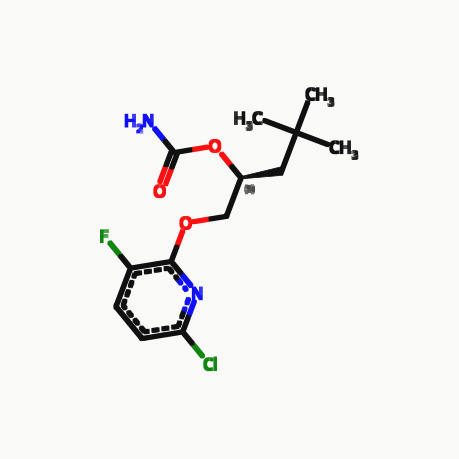 CC(C)(C)C[C@@H](COc1nc(Cl)ccc1F)OC(N)=O